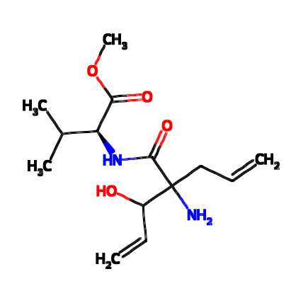 C=CCC(N)(C(=O)N[C@H](C(=O)OC)C(C)C)C(O)C=C